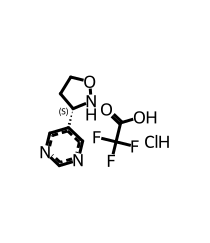 Cl.O=C(O)C(F)(F)F.c1ncc([C@@H]2CCON2)cn1